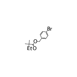 CCC(C)(C)C(=O)OCc1ccc(Br)cc1